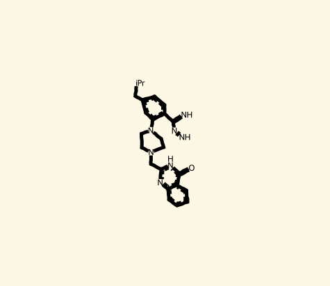 CC(C)Cc1ccc(C(=N)N=N)c(N2CCN(Cc3nc4ccccc4c(=O)[nH]3)CC2)c1